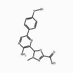 CC(C)Sc1ccc(-c2cnc(N)c(C3OC(C(=O)N=O)=NN3C)n2)cc1